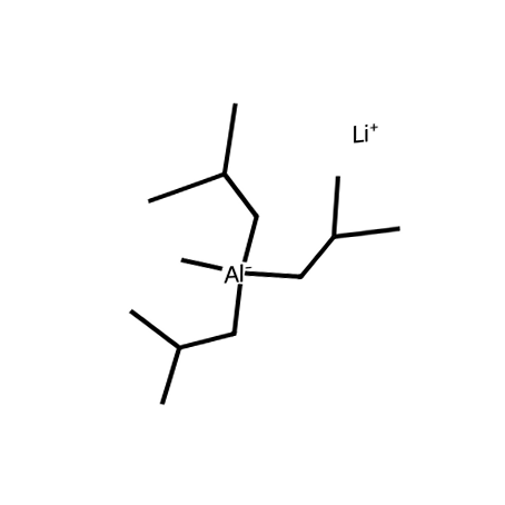 CC(C)[CH2][Al-]([CH3])([CH2]C(C)C)[CH2]C(C)C.[Li+]